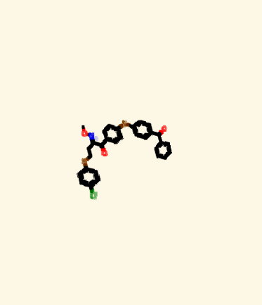 CO/N=C(\CCSc1ccc(Cl)cc1)C(=O)c1ccc(Sc2ccc(C(=O)c3ccccc3)cc2)cc1